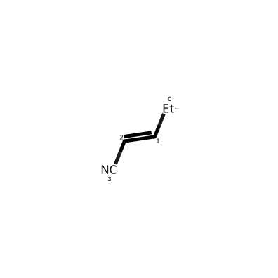 C[CH]C=CC#N